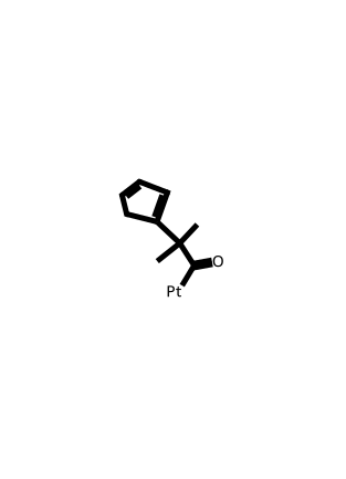 CC(C)([C](=O)[Pt])C1=CC=CC1